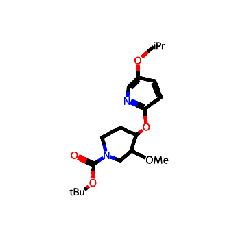 COC1CN(C(=O)OC(C)(C)C)CCC1Oc1ccc(OC(C)C)cn1